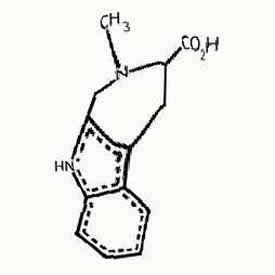 CN1Cc2[nH]c3ccccc3c2CC1C(=O)O